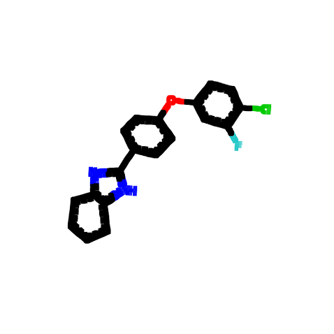 Fc1cc(Oc2ccc(-c3nc4ccccc4[nH]3)cc2)ccc1Cl